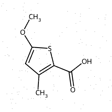 COc1cc(C)c(C(=O)O)s1